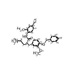 COc1cc(CN(CCN)C(=O)Nc2ccc(Cl)cc2C)ccc1OCc1ccccc1